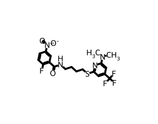 CN(C)c1cc(C(F)(F)F)cc(SCCCCNC(=O)c2cc([N+](=O)[O-])ccc2F)n1